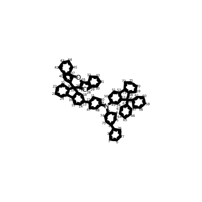 c1ccc(-c2ccc(N(c3ccc(-c4ccc5c(c4)C4(c6ccccc6-5)c5ccc6ccccc6c5Oc5c4ccc4ccccc54)cc3)c3ccc4c(c3)C(c3ccccc3)(c3ccccc3)c3ccccc3-4)cc2)cc1